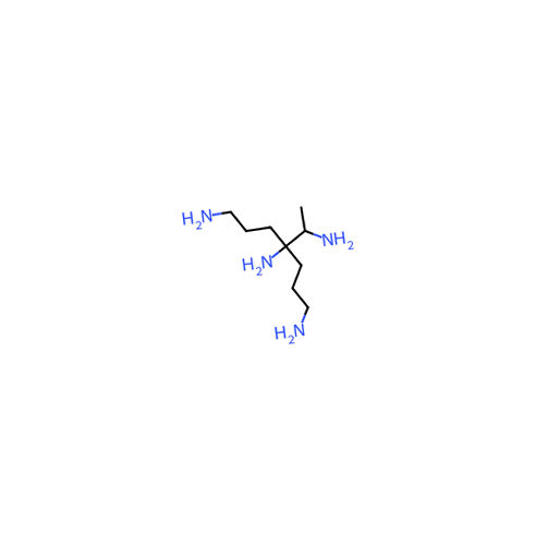 CC(N)C(N)(CCCN)CCCN